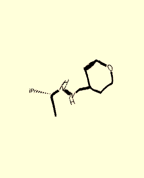 CC(C)[C@@H](C)NNC1CCOCC1